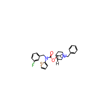 O=C(O[C@H]1C[N+]2(Cc3ccccc3)CCC1CC2)N(Cc1cccc(F)c1)c1cccs1